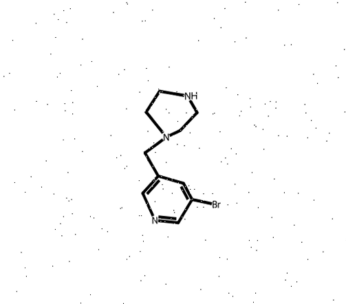 Brc1cncc(CN2CCNCC2)c1